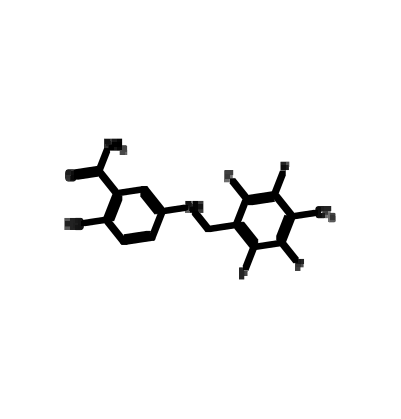 NC(=O)c1cc(NCc2c(F)c(F)c(C(F)(F)F)c(F)c2F)ccc1O